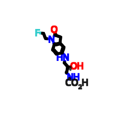 O=C(O)NC[C@H](O)CNc1ccc2c(c1)CC(=O)N2CCF